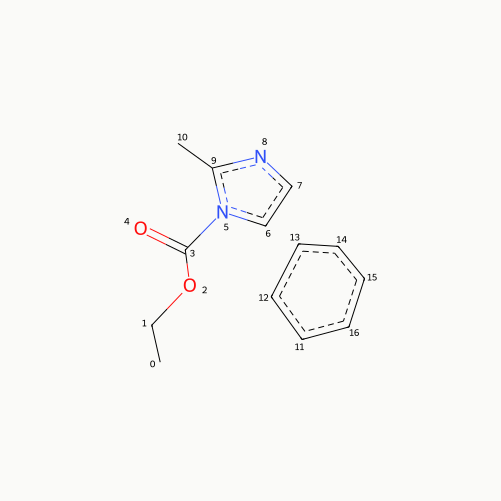 CCOC(=O)n1ccnc1C.c1ccccc1